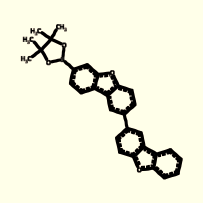 CC1(C)OB(c2ccc3c(c2)oc2ccc(-c4ccc5oc6ccccc6c5c4)cc23)OC1(C)C